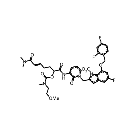 COCCN(C)C(=O)OC(CCC=CC(=O)N(C)C)C(=O)Nc1cccn(Cc2cc3cc(F)cc(OCc4ccc(F)cc4F)c3n2C(=O)O)c1=O